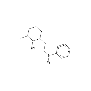 CCN(CCC1CCCC(C)C1C(C)C)c1ccccc1